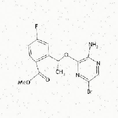 COC(=O)c1ccc(F)cc1[C@@H](C)Oc1nc(Br)cnc1N